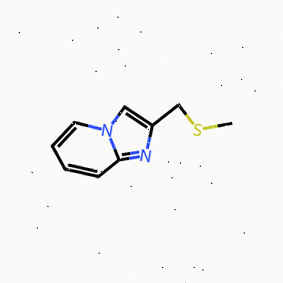 CSCc1cn2ccccc2n1